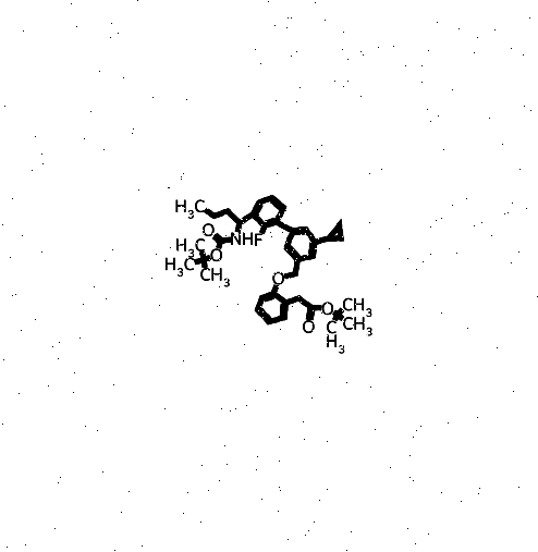 CCCC(NC(=O)OC(C)(C)C)c1cccc(-c2cc(COc3ccccc3CC(=O)OC(C)(C)C)cc(C3CC3)c2)c1F